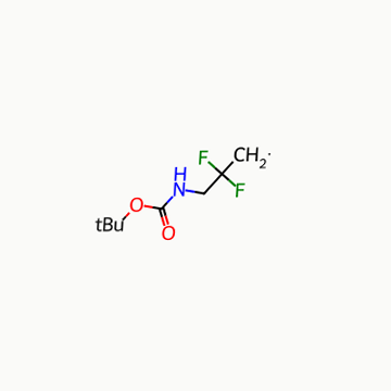 [CH2]C(F)(F)CNC(=O)OC(C)(C)C